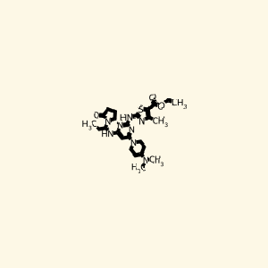 CCOC(=O)c1sc(Nc2nc(NC(CC)N3CCCC3=O)cc(N3CCC(N(C)C)CC3)n2)nc1C